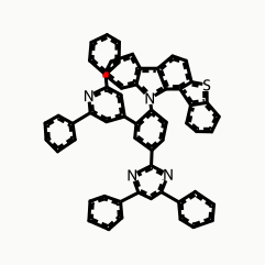 c1ccc(-c2cc(-c3cc(-c4nc(-c5ccccc5)cc(-c5ccccc5)n4)ccc3-n3c4ccccc4c4ccc5sc6ccccc6c5c43)cc(-c3ccccc3)n2)cc1